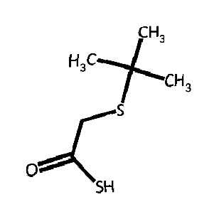 CC(C)(C)SCC(=O)S